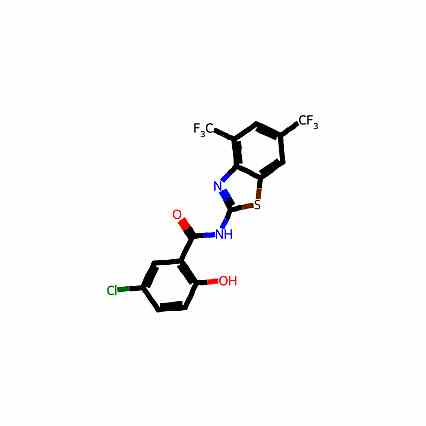 O=C(Nc1nc2c(C(F)(F)F)cc(C(F)(F)F)cc2s1)c1cc(Cl)ccc1O